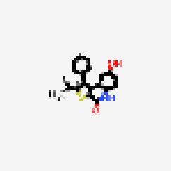 CC(C)c1sc2c(=O)[nH]c3ccc(O)cc3c2c1-c1ccccc1